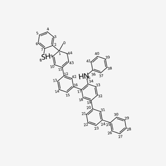 CC1(c2ccccc2S)C=CC(c2cccc(-c3cc(-c4cccc(-c5ccccc5)c4)ccc3Nc3ccccc3)c2)=CC1